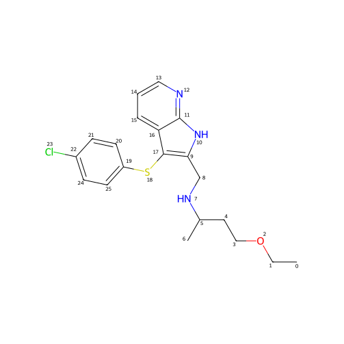 CCOCCC(C)NCc1[nH]c2ncccc2c1Sc1ccc(Cl)cc1